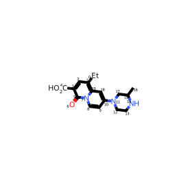 CCc1cc(C(=O)O)c(=O)n2ccc(N3CCNC(C)C3)cc12